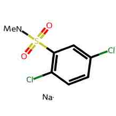 CNS(=O)(=O)c1cc(Cl)ccc1Cl.[Na]